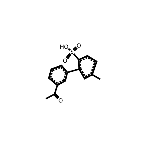 CC(=O)c1cccc(-c2cc(C)ccc2S(=O)(=O)O)c1